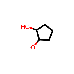 [O]C1CCCC1O